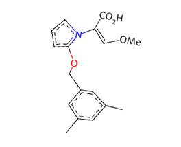 COC=C(C(=O)O)n1cccc1OCc1cc(C)cc(C)c1